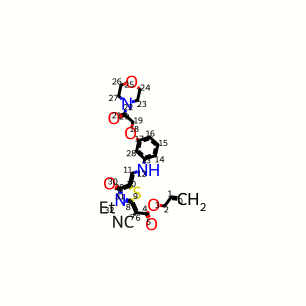 C=CCOC(=O)C(C#N)=c1sc(=CNc2cccc(OCC(=O)N3CCOCC3)c2)c(=O)n1CC